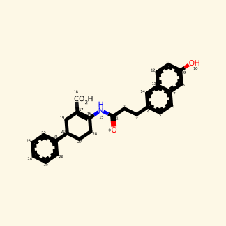 O=C(CCc1ccc2cc(O)ccc2c1)NC1=C(C(=O)O)CC(c2ccccc2)CC1